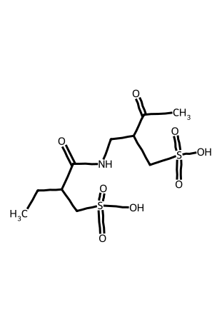 CCC(CS(=O)(=O)O)C(=O)NCC(CS(=O)(=O)O)C(C)=O